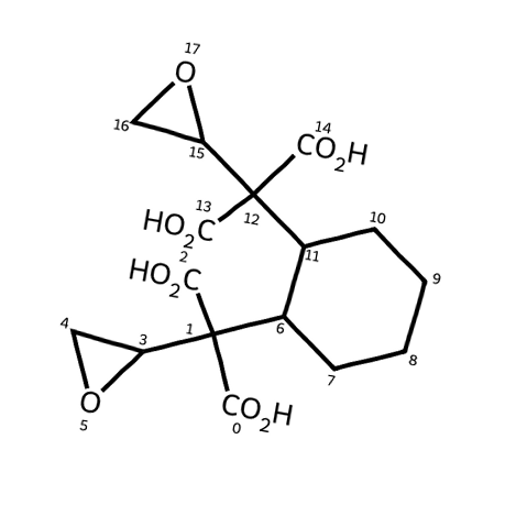 O=C(O)C(C(=O)O)(C1CO1)C1CCCCC1C(C(=O)O)(C(=O)O)C1CO1